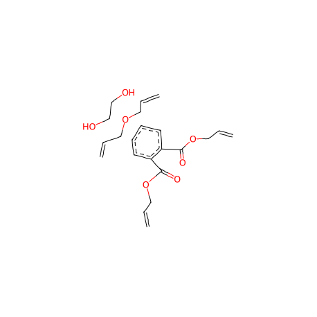 C=CCOC(=O)c1ccccc1C(=O)OCC=C.C=CCOCC=C.OCCO